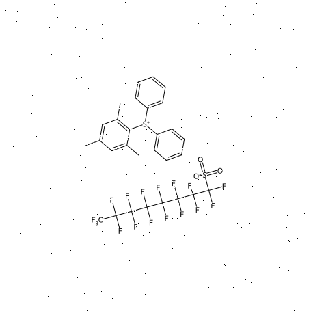 Cc1cc(C)c([S+](c2ccccc2)c2ccccc2)c(C)c1.O=S(=O)([O-])C(F)(F)C(F)(F)C(F)(F)C(F)(F)C(F)(F)C(F)(F)C(F)(F)C(F)(F)F